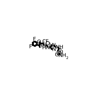 Cc1c([C@@H](NC(=O)Nc2cnc(N[C@@H](C)CS(N)(=O)=O)nc2)C(F)(F)F)oc2c(F)cc(F)cc12